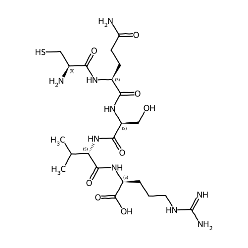 CC(C)[C@H](NC(=O)[C@H](CO)NC(=O)[C@H](CCC(N)=O)NC(=O)[C@@H](N)CS)C(=O)N[C@@H](CCCNC(=N)N)C(=O)O